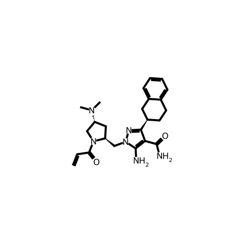 C=CC(=O)N1C[C@H](N(C)C)C[C@H]1Cn1nc([C@@H]2CCc3ccccc3C2)c(C(N)=O)c1N